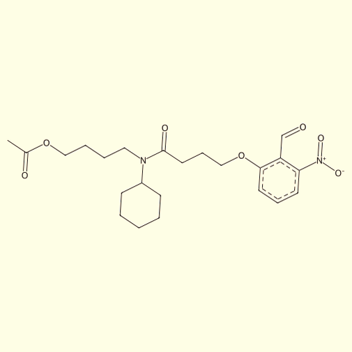 CC(=O)OCCCCN(C(=O)CCCOc1cccc([N+](=O)[O-])c1C=O)C1CCCCC1